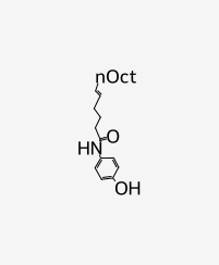 CCCCCCCCC=CCCCC(=O)Nc1ccc(O)cc1